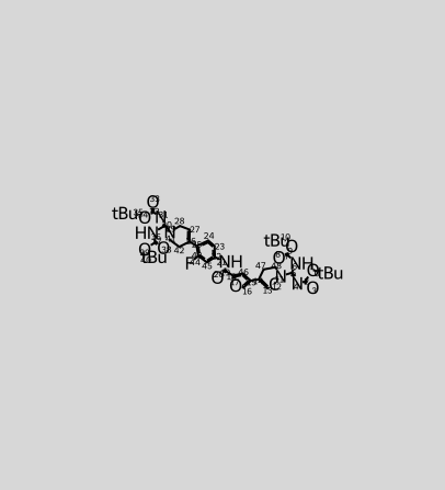 CC(C)(C)OC(=O)N=C(NC(=O)OC(C)(C)C)N1CC=C(c2coc(C(=O)Nc3ccc(C4=CCN(C(=NC(=O)OC(C)(C)C)NC(=O)OC(C)(C)C)CC4)c(F)c3)c2)CC1